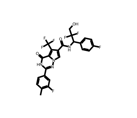 Cc1ccc(-c2nn3cc(C(=O)NC(c4ccc(F)cc4)C(F)(F)CO)c(C(F)(F)F)c3c(=O)[nH]2)cc1F